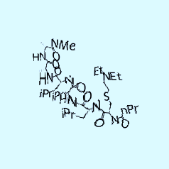 CCCC(=O)N(C)[C@H](CSCCN(CC)CC)C(=O)N(C)[C@@H](CC(C)C)C(=O)N[C@H](C(=O)N(C)[C@@H](CC(C)C)C(=O)N[C@H](C)C(=O)N[C@H](C)C(=O)NC)C(C)C